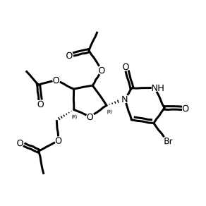 CC(=O)OC[C@H]1O[C@@H](n2cc(Br)c(=O)[nH]c2=O)C(OC(C)=O)C1OC(C)=O